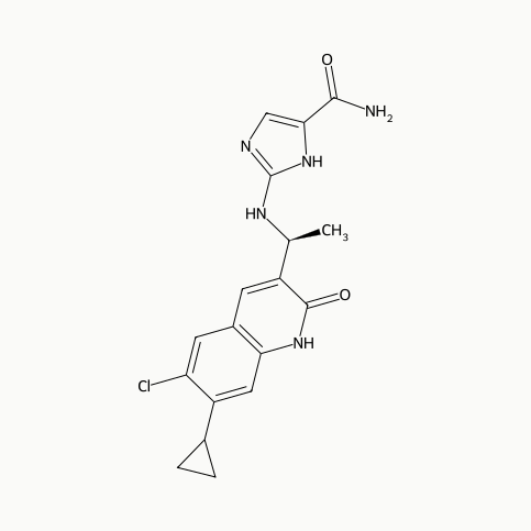 C[C@H](Nc1ncc(C(N)=O)[nH]1)c1cc2cc(Cl)c(C3CC3)cc2[nH]c1=O